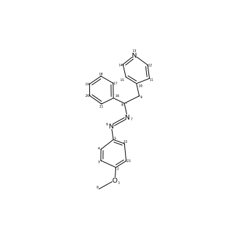 COc1ccc(N=N[C](Cc2ccncc2)c2ccccc2)cc1